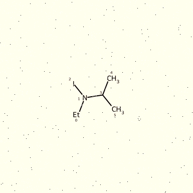 CCN(I)C(C)C